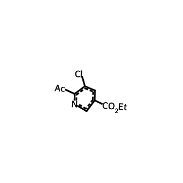 CCOC(=O)c1cnc(C(C)=O)c(Cl)c1